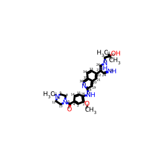 COc1cc(C(=O)N2CCN(C)CC2)ccc1Nc1cc2cc(/C(C=N)=C/NCC(C)(C)O)ccc2cn1